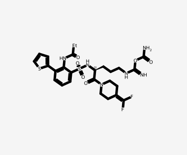 CCC(=O)Nc1c(-c2cccs2)cccc1S(=O)(=O)N[C@@H](CCCNC(=N)OC(N)=O)C(=O)N1CCC(=C(F)F)CC1